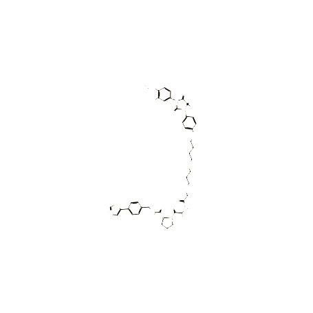 CC(C)(C)[C@H](NC(=O)COCCCOCCCCOc1ccc(N2C(=S)N(c3ccc(C#N)c(C(F)(F)F)c3)C(=O)C2(C)C)cc1)C(=O)N1CCC[C@H]1C(=O)NCc1ccc(-c2cnco2)cc1